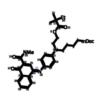 CCCCCCCCCCCCCCN(CCOC(=O)C(C)(C)CC)c1ccc(/N=C2\C=C(C(=O)NC)C(=O)c3ccccc32)cc1